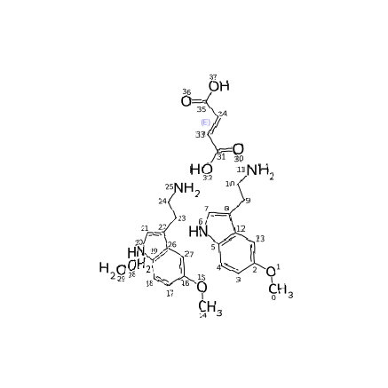 COc1ccc2[nH]cc(CCN)c2c1.COc1ccc2[nH]cc(CCN)c2c1.O.O.O=C(O)/C=C/C(=O)O